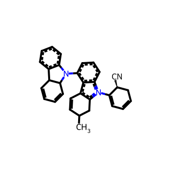 CC1C=Cc2c(n(C3=CC=CC[C@@H]3C#N)c3cccc(N4c5ccccc5C5C=CC=CC54)c23)C1